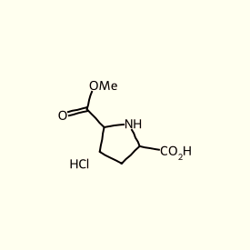 COC(=O)C1CCC(C(=O)O)N1.Cl